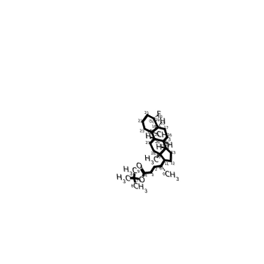 C[C@H](CCC(=O)OC(C)(C)C)C1CC[C@H]2[C@@H]3CC[C@@H]4[C@@H](F)CCC[C@]4(C)[C@H]3CC[C@]12C